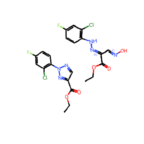 CCOC(=O)C(/C=N/O)=N/Nc1ccc(F)cc1Cl.CCOC(=O)c1cnn(-c2ccc(F)cc2Cl)n1